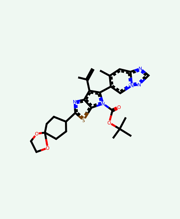 C=C(C)c1c(-c2cn3ncnc3cc2C)n(C(=O)OC(C)(C)C)c2sc(C3CCC4(CC3)OCCO4)nc12